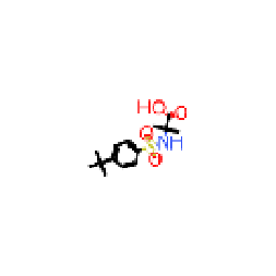 CC(C)(NS(=O)(=O)c1ccc(C(C)(C)C)cc1)C(=O)O